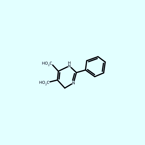 O=C(O)C1=C(C(=O)O)NC(c2ccccc2)=NC1